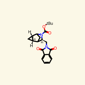 CC(C)(C)OC(=O)N1C2CC([C@@H]3C[C@H]23)[C@@H]1CN1C(=O)c2ccccc2C1=O